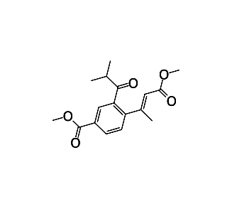 COC(=O)C=C(C)c1ccc(C(=O)OC)cc1C(=O)C(C)C